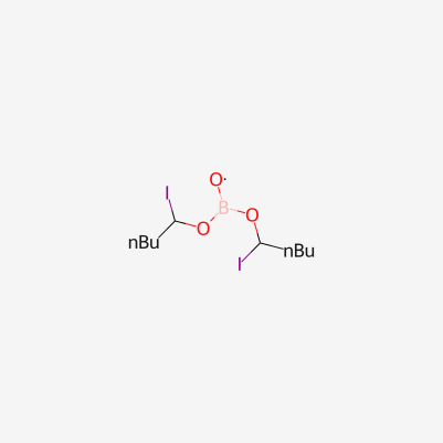 CCCCC(I)OB([O])OC(I)CCCC